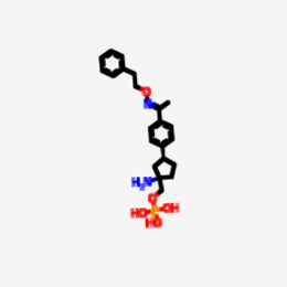 C/C(=N\OCCc1ccccc1)c1ccc([C@H]2CC[C@](N)(CO[PH](O)(O)O)C2)cc1